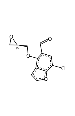 O=Cc1cc(Cl)c2occc2c1OC[C@H]1CO1